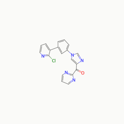 O=C(c1cn(-c2cccc(-c3cccnc3Cl)c2)cn1)c1ncccn1